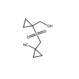 N#CC1(CS(=O)(=O)C2(CO)CC2)CC1